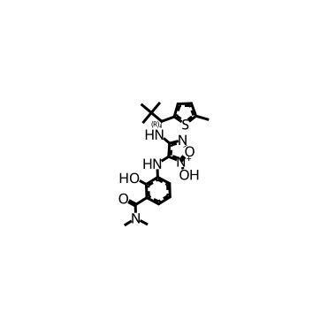 Cc1ccc([C@H](Nc2no[n+](O)c2Nc2cccc(C(=O)N(C)C)c2O)C(C)(C)C)s1